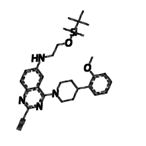 C#Cc1nc(N2CCC(c3ccccc3OC)CC2)c2cc(NCCO[Si](C)(C)C(C)(C)C)ccc2n1